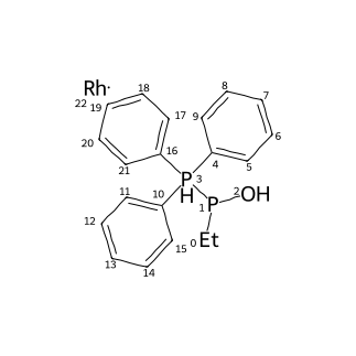 CCP(O)[PH](c1ccccc1)(c1ccccc1)c1ccccc1.[Rh]